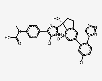 CN(C(=O)O)c1ccc(-c2nc([C@@]3(O)CCc4cc(-c5cc(Cl)ccc5-n5cnnn5)c[n+]([O-])c43)[nH]c2Cl)cc1